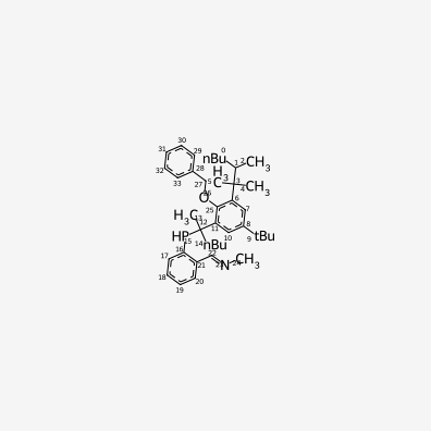 CCCCC(C)C(C)(C)c1cc(C(C)(C)C)cc(C(C)(CCCC)Pc2ccccc2/C=N/C)c1OCc1ccccc1